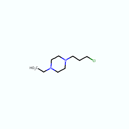 O=C(O)CN1CCN(CCCCl)CC1